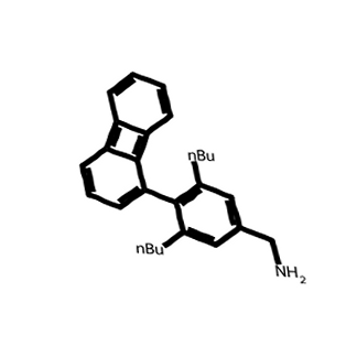 CCCCc1cc(CN)cc(CCCC)c1-c1cccc2c1=c1ccccc1=2